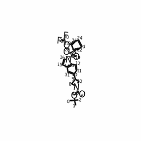 CC(C)(C)OC(=O)N1CC(c2ccc3c(ccn3S(=O)(=O)c3ccccc3OC(F)F)c2)C1